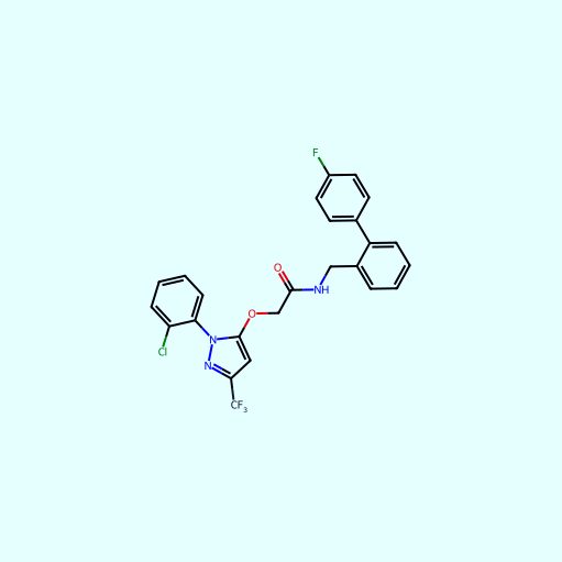 O=C(COc1cc(C(F)(F)F)nn1-c1ccccc1Cl)NCc1ccccc1-c1ccc(F)cc1